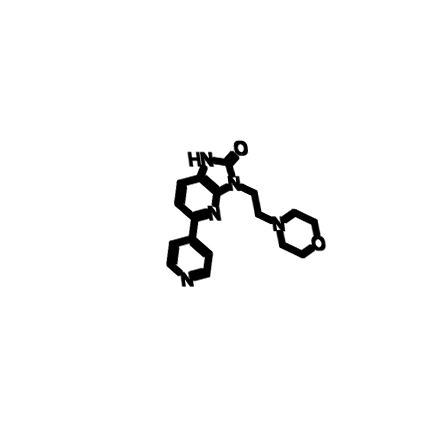 O=c1[nH]c2ccc(-c3ccncc3)nc2n1CCN1CCOCC1